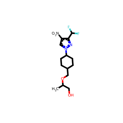 CC(CO)OCC1CCC(n2cc([N+](=O)[O-])c(C(F)F)n2)CC1